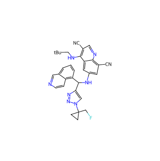 CC(C)(C)CNc1c(C#N)cnc2c(C#N)cc(NC(c3cn(C4(CF)CC4)nn3)c3cccc4cnccc34)cc12